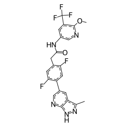 COc1ncc(NC(=O)Cc2cc(F)c(-c3cnc4[nH]nc(C)c4c3)cc2F)cc1C(F)(F)F